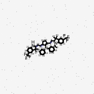 CC[N+]1=C(/C=C/C2=C(N(c3ccccc3)c3ccccc3)C(=C/C=C3/Nc4ccc(C(F)(F)F)cc4C3(C)C)/CC2)C(C)(C)c2cc(C(F)(F)F)ccc21